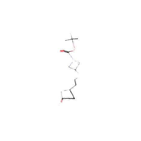 CC(C)(C)OC(=O)N1CC(OCCC2CC(=O)C2)C1